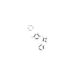 CN1CCN(S(=O)(=O)c2c(Cl)ccc(Nc3c(Nc4ccccc4Br)c(=O)c3=O)c2O)CC1